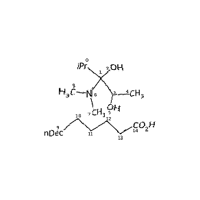 CC(C)C(O)(C(C)O)N(C)C.CCCCCCCCCCCCCCC(=O)O